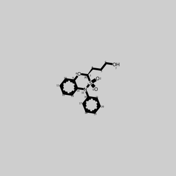 O=S1(=O)[C@H](CCCO)Oc2ccccc2N1c1ccccc1